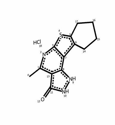 Cc1nc2sc3c(c2c2[nH][nH]c(=O)c12)CCCC3.Cl